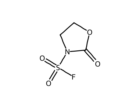 O=C1OCCN1S(=O)(=O)F